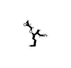 C=C(CC(C)C)/C(=C\C=C/C)OCC1CO1